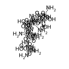 CC[C@H](C)[C@H](N)C(=O)N[C@@H](CC(N)=O)C(=O)N[C@@H](CCC(=O)O)C(=O)N[C@@H](CCC(=O)O)C(=O)N[C@@H](CC(C)C)C(=O)N[C@@H](CC(N)=O)C(=O)N1CCC[C@H]1C(=O)N[C@@H](CCCCN)C(=O)N[C@H](C(=O)N[C@@H](CC(N)=O)C(=O)N[C@@H](CCCCN)C(=O)N[C@@H](Cc1c[nH]c2ccccc12)C(=O)N[C@@H](CCC(=O)O)C(=O)N[C@@H](CC(=O)O)C(=O)N[C@H]([C]=O)CCCCN)[C@@H](C)O